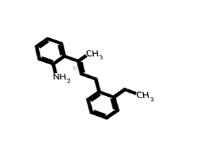 CCc1ccccc1C/C=C(\C)c1ccccc1N